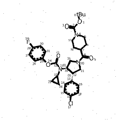 CC(C)(C)OC(=O)N1CCC(C(=O)N2C[C@H](c3ccc(Cl)cc3)[C@@H](N(C(=O)Oc3ccc(F)cc3)C3CC3)C2)CC1